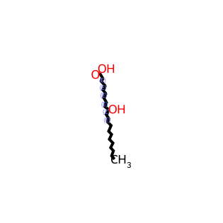 CCCCCCCCC/C=C/C=C(O)/C=C/C=C/C=C/C=C/C(=O)O